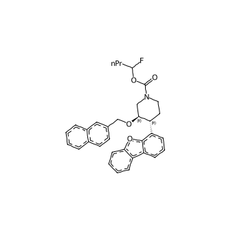 CCCC(F)OC(=O)N1CC[C@H](c2cccc3c2oc2ccccc23)[C@@H](OCc2ccc3ccccc3c2)C1